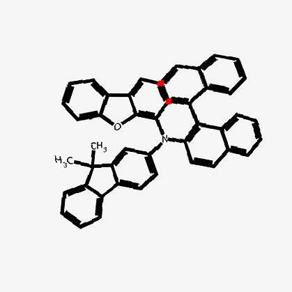 CC1(C)c2ccccc2-c2ccc(N(c3ccc4ccccc4c3-c3cccc4ccccc34)c3cccc4c3oc3ccccc34)cc21